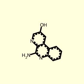 Nc1nc2ccccc2c2cc(O)cnc12